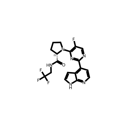 O=C(NCC(F)(F)F)[C@@H]1CCCN1c1nc(-c2ccnc3[nH]ccc23)ncc1F